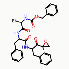 CC[C@@H](NC(=O)OCc1ccccc1)C(=O)NC(Cc1ccccc1)C(=O)NC(Cc1ccccc1)C(=O)C1(C)CO1